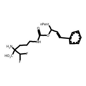 CCCCCC(/C=C/c1ccccc1)OC(=O)NCCCC(N)(C(=O)O)C(F)F